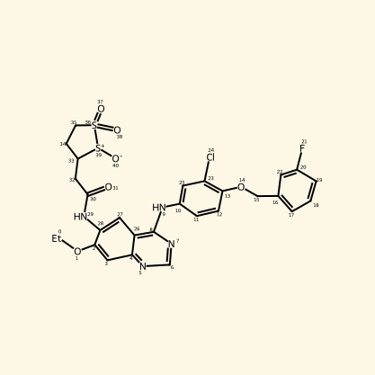 CCOc1cc2ncnc(Nc3ccc(OCc4cccc(F)c4)c(Cl)c3)c2cc1NC(=O)CC1CCS(=O)(=O)[S+]1[O-]